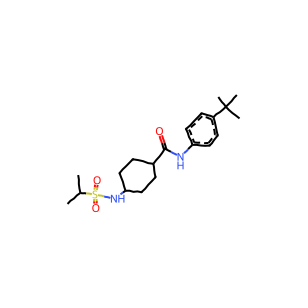 CC(C)S(=O)(=O)NC1CCC(C(=O)Nc2ccc(C(C)(C)C)cc2)CC1